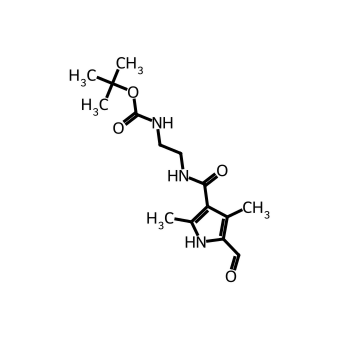 Cc1[nH]c(C=O)c(C)c1C(=O)NCCNC(=O)OC(C)(C)C